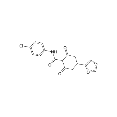 O=C1CC(c2ccco2)CC(=O)C1C(=O)Nc1ccc(Cl)cc1